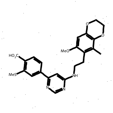 COc1cc2c(c(C)c1CCNc1cc(-c3ccc(C(=O)O)c(SC)c3)ncn1)OCCO2